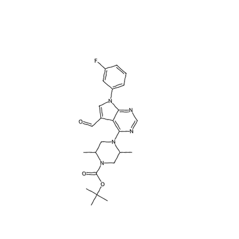 CC1CN(c2ncnc3c2c(C=O)cn3-c2cccc(F)c2)C(C)CN1C(=O)OC(C)(C)C